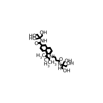 CC1=[N+](CCC(=O)NC(CO)(CO)CO)c2ccc3cc(C(=O)NC(CO)(CO)CO)ccc3c2C1(C)C